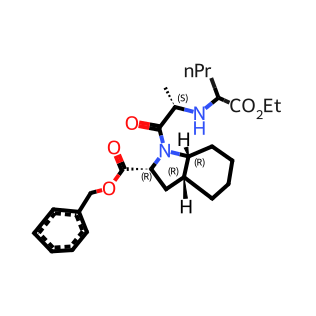 CCCC(N[C@@H](C)C(=O)N1[C@@H](C(=O)OCc2ccccc2)C[C@H]2CCCC[C@H]21)C(=O)OCC